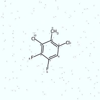 Cc1c(Cl)cc(F)c(F)c1Cl